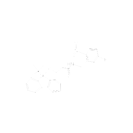 CC(C)(C)[Si](OCCC(=O)NCc1cc(F)ccc1[N+](=O)[O-])(c1ccccc1)c1ccccc1